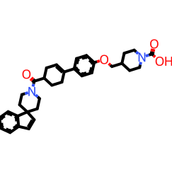 O=C(O)N1CCC(COc2ccc(C3=CCC(C(=O)N4CCC5(C=Cc6ccccc65)CC4)CC3)cc2)CC1